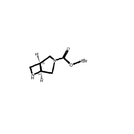 CC(C)(C)OC(=O)N1C[C@@H]2CN[C@@H]2C1